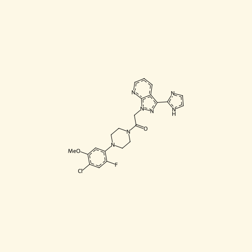 COc1cc(N2CCN(C(=O)Cn3nc(-c4ncc[nH]4)c4cccnc43)CC2)c(F)cc1Cl